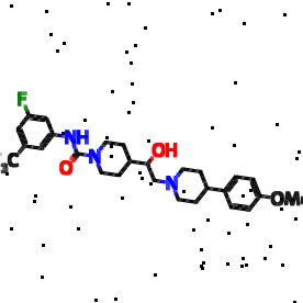 COc1ccc(C2CCN(CC(O)C3CCN(C(=O)Nc4cc(F)cc(C(F)(F)F)c4)CC3)CC2)cc1